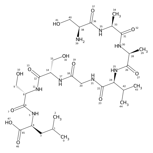 CC(C)C[C@H](NC(=O)[C@H](CO)NC(=O)[C@H](CO)NC(=O)CNC(=O)[C@@H](NC(=O)[C@H](C)NC(=O)[C@H](C)NC(=O)[C@@H](N)CO)C(C)C)C(=O)O